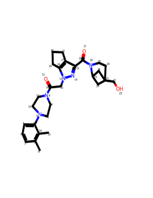 Cc1cccc(N2CCN(C(=O)Cn3nc(C(=O)N4CCC5(CO)CC4C5)c4c3CCC4)CC2)c1C